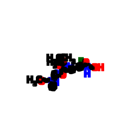 COCCCn1c([C@@H]2CCCN(C(=O)C[C@@H](Cc3ccc(-c4ccc(C(=O)NCCO)c(F)c4)cc3)NC(=O)OC(C)(C)C)C2)nc2ccccc21